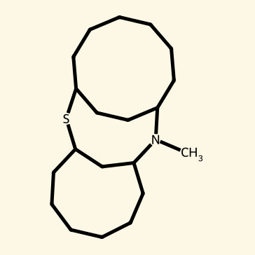 CN1C2CCCCCCC(CC2)SC2CCCCCCC1C2